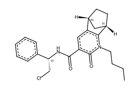 CCCCn1c2c(cc(C(=O)N[C@H](CCl)c3ccccc3)c1=O)[C@@H]1CC[C@H]2C1